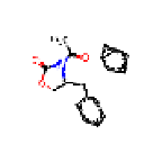 CC(=O)N1C(=O)OCC1Cc1ccccc1.c1cc2cc-2c1